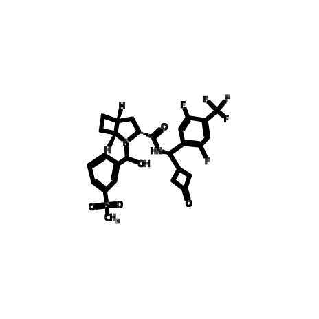 CS(=O)(=O)c1cccc(C(O)N2[C@@H](C(=O)N[C@@H](c3cc(F)c(C(F)(F)F)cc3F)C3CC(=O)C3)C[C@H]3CC[C@H]32)c1